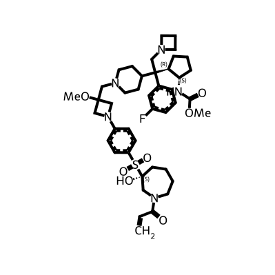 C=CC(=O)N1CCCC[C@](O)(S(=O)(=O)c2ccc(N3CC(CN4CCC(C(CN5CCC5)(c5cccc(F)c5)[C@H]5CCC[C@@H]5NC(=O)OC)CC4)(OC)C3)cc2)C1